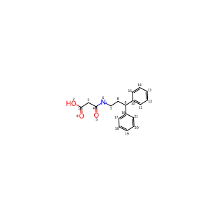 O=C(O)CC(=O)[N]CCC(c1ccccc1)c1ccccc1